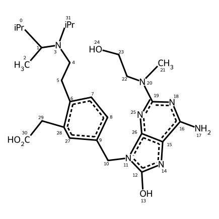 CC(C)C(C)N(CCc1ccc(Cn2c(O)nc3c(N)nc(N(C)CCO)nc32)cc1CC(=O)O)C(C)C